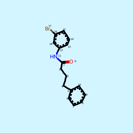 O=C(CCCc1ccccc1)Nc1cccc(Br)c1